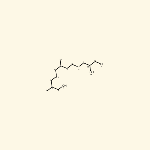 CC(CO)CSCC(C)CCSCC(O)CO